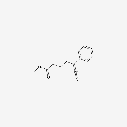 COC(=O)CCCC(=[N+]=[N-])c1ccccc1